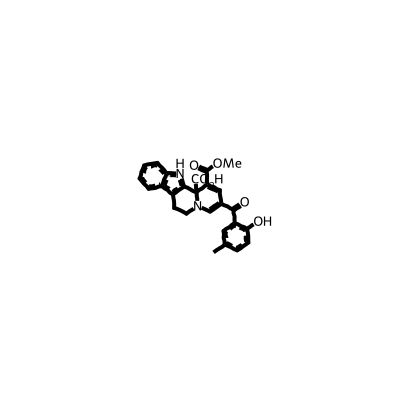 COC(=O)C1=CC(C(=O)c2cc(C)ccc2O)=CN2CCc3c([nH]c4ccccc34)C12C(=O)O